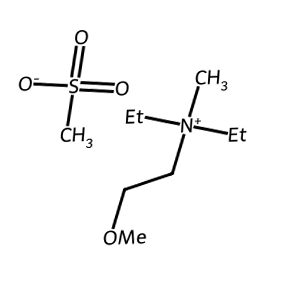 CC[N+](C)(CC)CCOC.CS(=O)(=O)[O-]